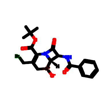 CC(C)(C)OC(=O)C1=C(CBr)C[S+]([O-])[C@@H]2C(NC(=O)c3ccccc3)C(=O)N12